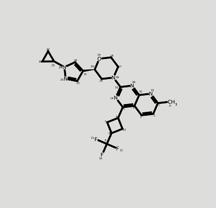 Cc1ccc2c(C3CC(C(F)(F)F)C3)nc(N3CCO[C@H](c4cnn(C5CC5)c4)C3)nc2n1